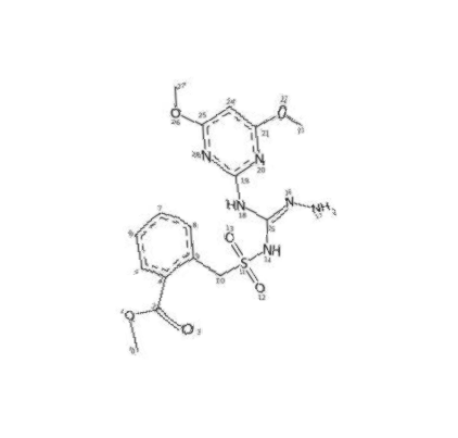 COC(=O)c1ccccc1CS(=O)(=O)N/C(=N\N)Nc1nc(OC)cc(OC)n1